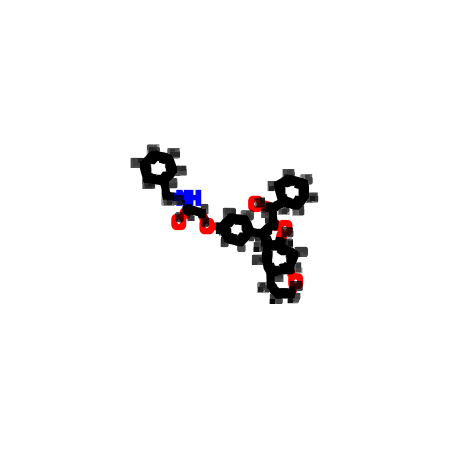 O=C(COc1ccc(-c2c(C(=O)c3ccccc3)oc3cc4c(cc23)CC=CO4)cc1)NCc1ccccc1